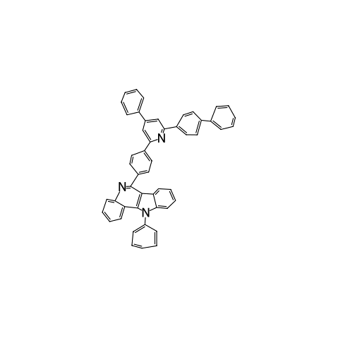 c1ccc(-c2ccc(-c3cc(-c4ccccc4)cc(-c4ccc(-c5nc6ccccc6c6c5c5ccccc5n6-c5ccccc5)cc4)n3)cc2)cc1